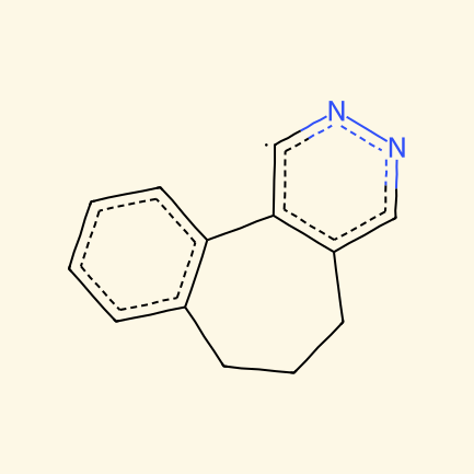 [c]1nncc2c1-c1ccccc1CCC2